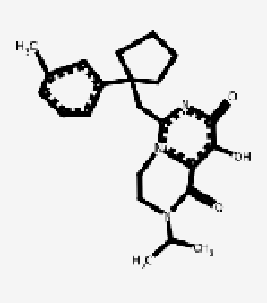 Cc1cccc(C2(Cc3nc(=O)c(O)c4n3CCN(C(C)C)C4=O)CCCC2)c1